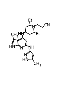 CCC1CC(Nc2nc(Nc3cc(C)[nH]n3)nc3[nH]cc(C)c23)CC(CC)N1CCC#N